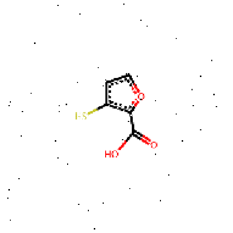 O=C(O)c1occc1S